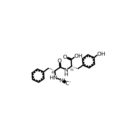 [C-]#[N+]N[C@H](Cc1ccccc1)C(=O)N[C@@H](Cc1ccc(O)cc1)C(=O)O